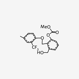 COC(=O)Oc1cccc(CO)c1COc1ccc(C)cc1C(F)(F)F